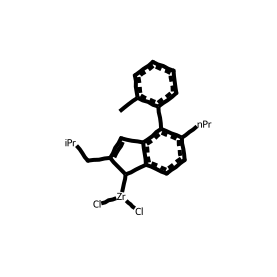 CCCc1ccc2c(c1-c1ccccc1C)C=C(CC(C)C)[CH]2[Zr]([Cl])[Cl]